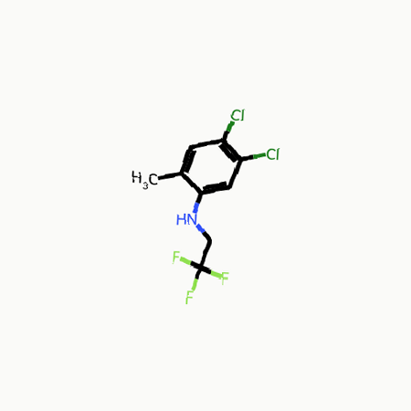 Cc1cc(Cl)c(Cl)cc1NCC(F)(F)F